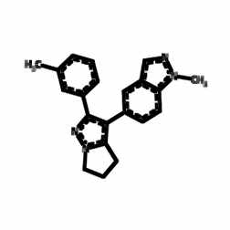 Cc1cccc(-c2nn3c(c2-c2ccc4c(cnn4C)c2)CCC3)c1